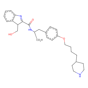 O=C(NC(Cc1ccc(OCCCCC2CCNCC2)cc1)C(=O)O)C1=Nc2ccccc2C1CO